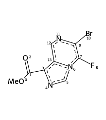 COC(=O)c1ncn2c(F)c(Br)ncc12